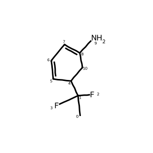 CC(F)(F)C1C=CC=C(N)C1